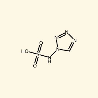 O=S(=O)(O)Nn1[c]nnn1